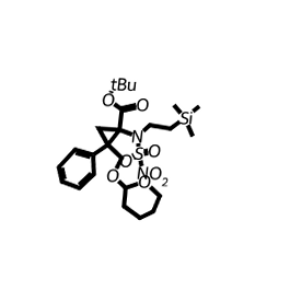 CC(C)(C)OC(=O)C1(N(CC[Si](C)(C)C)S(=O)(=O)[N+](=O)[O-])CC1(COC1CCCCO1)c1ccccc1